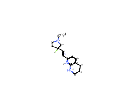 O=C(O)N1CCC(F)(/C=C/c2ccc3c(n2)NCCC3)C1